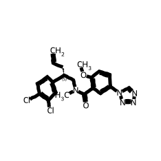 C=CC[C@H](CN(C)C(=O)c1cc(-n2cnnn2)ccc1OC)c1ccc(Cl)c(Cl)c1